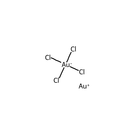 [Au+].[Cl][Au-]([Cl])([Cl])[Cl]